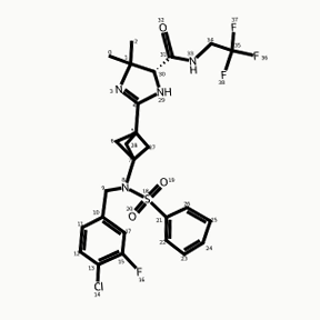 CC1(C)N=C(C23CC(N(Cc4ccc(Cl)c(F)c4)S(=O)(=O)c4ccccc4)(C2)C3)N[C@H]1C(=O)NCC(F)(F)F